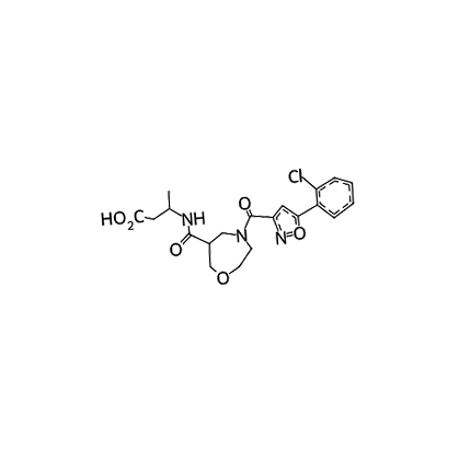 CC(CC(=O)O)NC(=O)C1COCCN(C(=O)c2cc(-c3ccccc3Cl)on2)C1